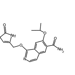 CC(C)Oc1cc2c(OCC3=CCC(=O)N3)nccc2cc1C(N)=O